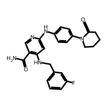 NC(=O)c1cnc(Nc2ccc(N3CCCCC3=O)cc2)cc1NCc1cccc(F)c1